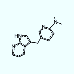 CN(C)c1ccc(Cc2c[nH]c3ncccc23)cn1